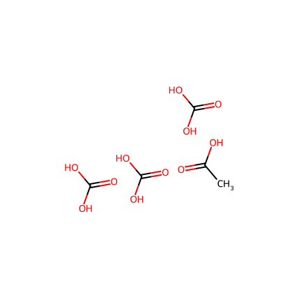 CC(=O)O.O=C(O)O.O=C(O)O.O=C(O)O